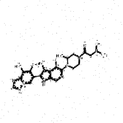 Cc1c(-c2[nH]c3cnc(N4CCN(C(=O)CN(C)C)CC4C)c(F)c3c2C(C)C)cn2ncnc2c1C